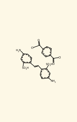 Nc1ccc(/C=C/c2ccc(N)cc2S(=O)(=O)O)c(S(=O)(=O)O)c1.O=C(Cl)c1ccc(C(=O)Cl)cc1